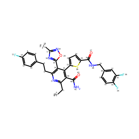 CC(C)Cc1nc(CCc2ccc(F)cc2)c(-c2nc(C(F)(F)F)no2)c(-c2ccc(C(=O)NCc3ccc(F)c(F)c3)s2)c1C(N)=O